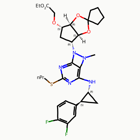 CCCSc1nc(N[C@@H]2C[C@H]2c2ccc(F)c(F)c2)c2c(n1)n([C@@H]1C[C@H](OCC(=O)OCC)[C@H]3OC4(CCCC4)O[C@H]31)n2C